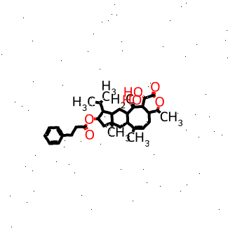 C=C1C2CC3C(C(C)C)C(OC(=O)CCc4ccccc4)CC3(C)CC2/C(C)=C\CC2C(C)OC(=O)C(O)C12O